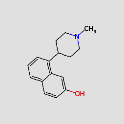 CN1CCC(c2cccc3ccc(O)cc23)CC1